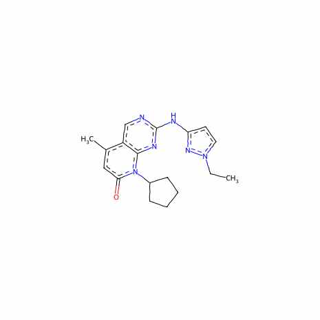 CCn1ccc(Nc2ncc3c(C)cc(=O)n(C4CCCC4)c3n2)n1